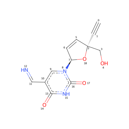 C#C[C@@]1(CO)C=C[C@H](n2cc(C=N)c(=O)[nH]c2=O)O1